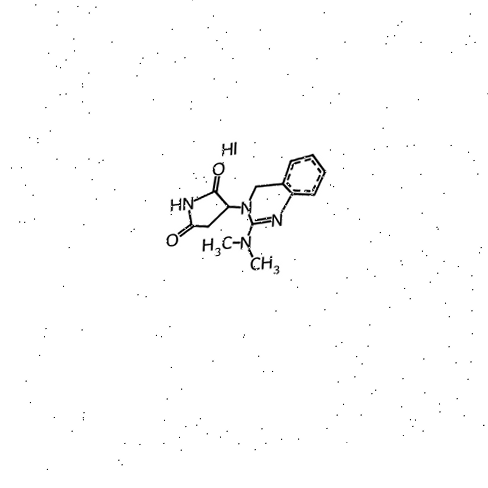 CN(C)C1=Nc2ccccc2CN1C1CC(=O)NC1=O.I